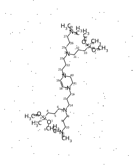 CO[Si](C)(CCCN(CCCN(C)C)CCCN1C=CN(CCCN(CCCN(C)C)CCC[Si](C)(OC)OC)CC1)OC